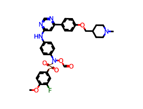 COc1ccc(S(=O)(=O)N(OC=O)c2ccc(Nc3cc(-c4ccc(OCC5CCN(C)CC5)cc4)ncn3)cc2)cc1F